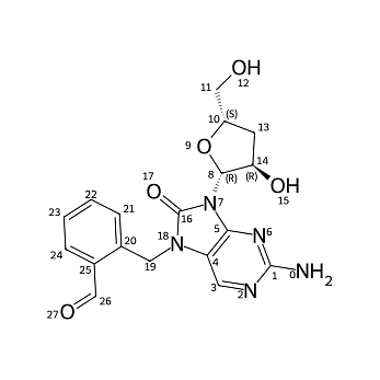 Nc1ncc2c(n1)n([C@@H]1O[C@H](CO)C[C@H]1O)c(=O)n2Cc1ccccc1C=O